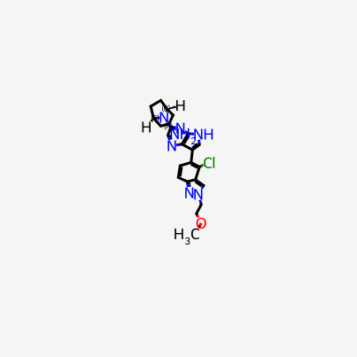 COCCn1cc2c(Cl)c(-c3c[nH]c4nc(N5[C@@H]6CC[C@H]5C[C@@H](N)C6)cnc34)ccc2n1